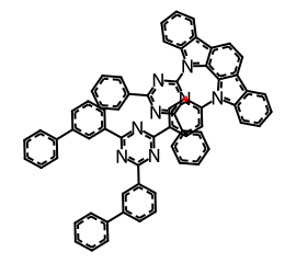 c1ccc(-c2cccc(-c3nc(-c4ccc(-n5c6ccccc6c6ccc7c8ccccc8n(-c8nc(-c9ccccc9)nc(-c9ccccc9)n8)c7c65)cc4)nc(-c4cccc(-c5ccccc5)c4)n3)c2)cc1